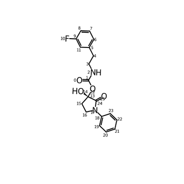 O=C(NCCc1cccc(F)c1)O[C@@]1(O)CCN(c2ccccc2)C1=O